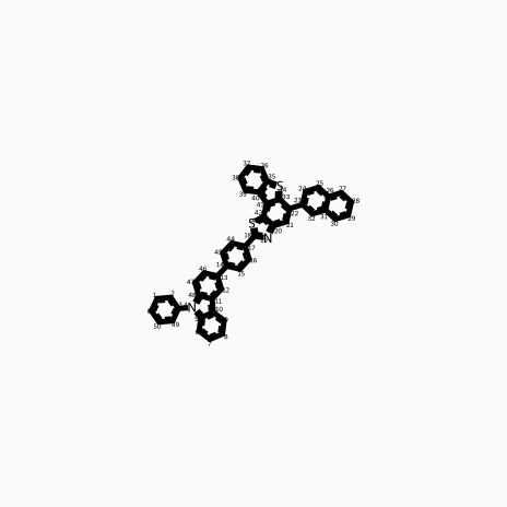 c1ccc(-n2c3ccccc3c3cc(-c4ccc(-c5nc6cc(-c7ccc8ccccc8c7)c7sc8ccccc8c7c6s5)cc4)ccc32)cc1